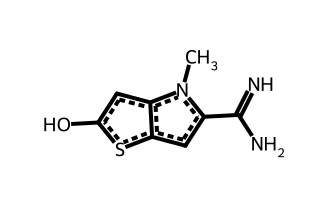 Cn1c(C(=N)N)cc2sc(O)cc21